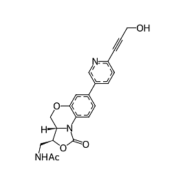 CC(=O)NC[C@@H]1OC(=O)N2c3ccc(-c4ccc(C#CCO)nc4)cc3OC[C@@H]12